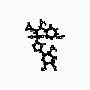 CCc1cc(-c2ccc(S(=O)(=O)N(C3CC3)C(C)c3ccccn3)s2)c(C)[nH]c1=O.Cl